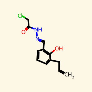 C=CCc1cccc(/C=N/NC(=O)CCl)c1O